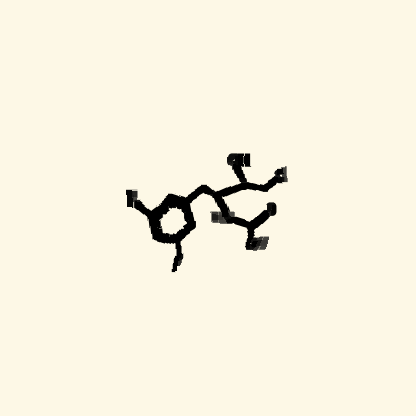 O=C(O)N[C@@H](Cc1cc(F)cc(F)c1)[C@@H](O)CCl